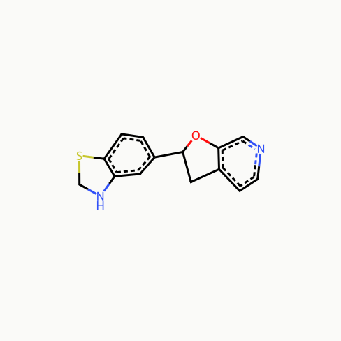 c1cc2c(cn1)OC(c1ccc3c(c1)NCS3)C2